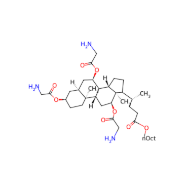 CCCCCCCCOC(=O)CC[C@@H](C)C1CC[C@H]2C3[C@H](OC(=O)CN)C[C@@H]4C[C@H](OC(=O)CN)CC[C@]4(C)[C@H]3C[C@H](OC(=O)CN)[C@]12C